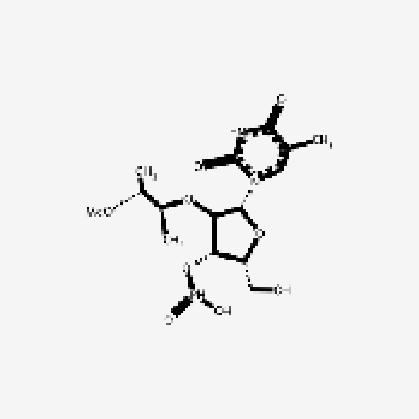 CO[C@H](C)[C@H](C)OC1[C@@H](O[PH](=O)O)[C@@H](CO)O[C@H]1n1cc(C)c(=O)[nH]c1=O